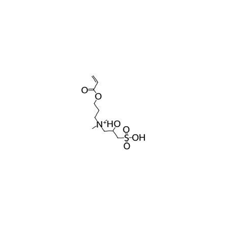 C=CC(=O)OCCC[N+](C)(C)CC(O)CS(=O)(=O)O